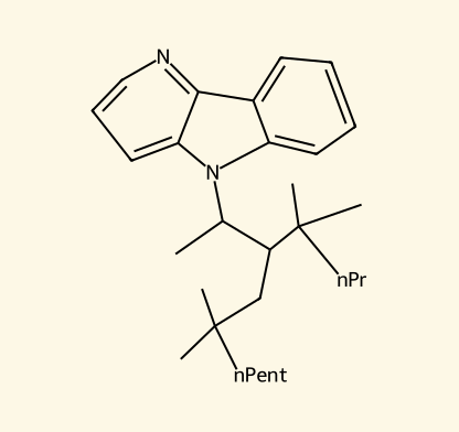 CCCCCC(C)(C)CC(C(C)n1c2ccccc2c2ncccc21)C(C)(C)CCC